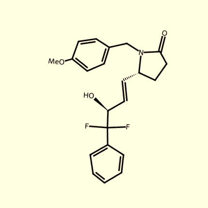 COc1ccc(CN2C(=O)CC[C@@H]2/C=C/[C@H](O)C(F)(F)c2ccccc2)cc1